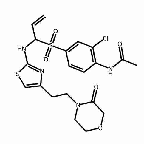 C=CC(Nc1nc(CCN2CCOCC2=O)cs1)S(=O)(=O)c1ccc(NC(C)=O)c(Cl)c1